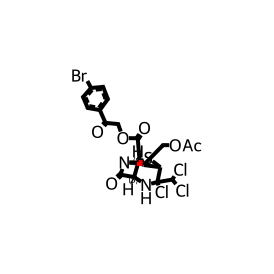 CC(=O)OCC1=C(C(=O)OCC(=O)c2ccc(Br)cc2)N2C(=O)[C@@H]3NC(Cl)(C(Cl)Cl)C1S[C@@H]32